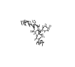 CCCc1ccc(N(c2ccc(C)cc2)c2ccc(CCC)cc2)cc1